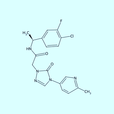 Cc1ccc(-n2cnn(CC(=O)N[C@@H](C)c3ccc(Cl)c(F)c3)c2=O)cn1